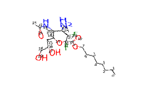 CCCCCCCCOC(=O)[C@]1(F)OC(C[C@H](O)CO)C(NC(C)=O)C(N)C1F